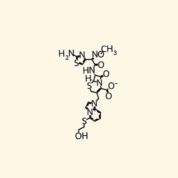 CO/N=C(\C(=O)N[C@@H]1C(=O)N2C(C(=O)[O-])=C(Cn3cc[n+]4c(SCCO)cccc34)CS[C@@H]12)c1csc(N)n1